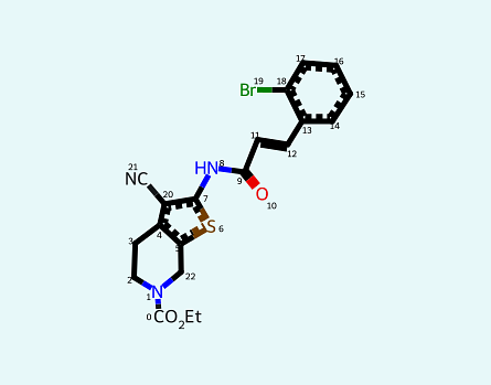 CCOC(=O)N1CCc2c(sc(NC(=O)/C=C/c3ccccc3Br)c2C#N)C1